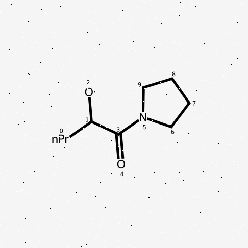 CCCC([O])C(=O)N1CCCC1